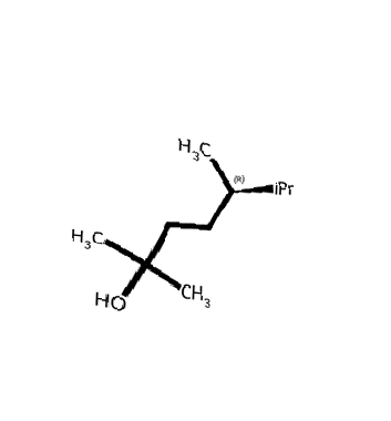 CC(C)[C@H](C)CCC(C)(C)O